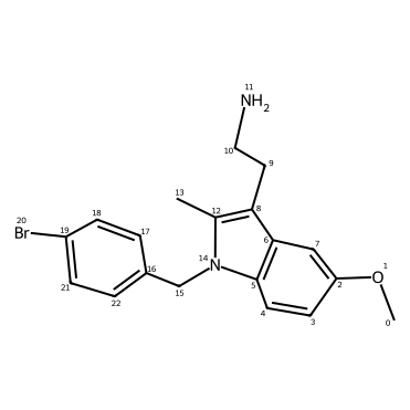 COc1ccc2c(c1)c(CCN)c(C)n2Cc1ccc(Br)cc1